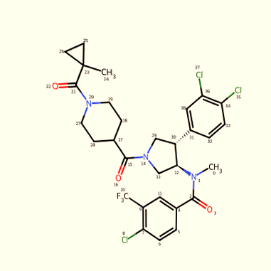 CN(C(=O)c1ccc(Cl)c(C(F)(F)F)c1)[C@H]1CN(C(=O)C2CCN(C(=O)C3(C)CC3)CC2)C[C@@H]1c1ccc(Cl)c(Cl)c1